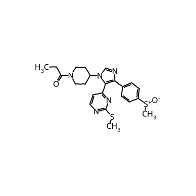 CCC(=O)N1CCC(n2cnc(-c3ccc([S+](C)[O-])cc3)c2-c2ccnc(SC)n2)CC1